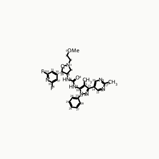 COCCN1C[C@@H](NC(=O)Nc2c(C)c(-c3cnc(C)nc3)nn2-c2ccccc2)[C@H](c2cc(F)nc(F)c2)O1